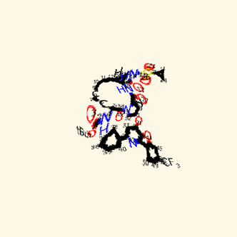 CC(C)(C)OC(=O)N[C@H]1CCCCC/C=C\[C@@H]2C[C@@]2(C(=O)NS(=O)(=O)C2CC2)NC(=O)[C@@H]2C[C@@H](Oc3cc(-c4ccccc4)nc4c3oc3cc(C(F)(F)F)ccc34)CN2C1=O